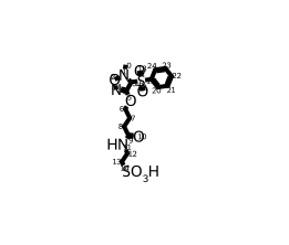 CN1ON=C(OCCCC(=O)NCCS(=O)(=O)O)C1S(=O)(=O)c1ccccc1